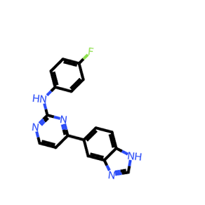 Fc1ccc(Nc2nccc(-c3ccc4[nH]cnc4c3)n2)cc1